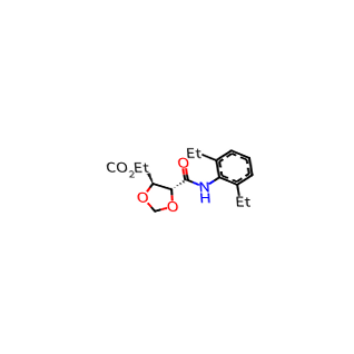 CCOC(=O)[C@@H]1OCO[C@H]1C(=O)Nc1c(CC)cccc1CC